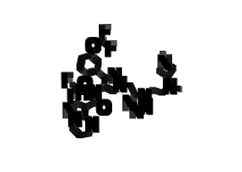 CN1CC(N(C)CCn2nnnc2Cn2cc(NC(=O)c3cnn4cccnc34)c(-c3cc(OC(F)F)ccc3OC(F)F)n2)C1